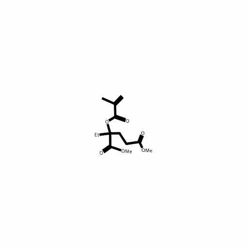 C=C(C)C(=O)OC(CC)(CCC(=O)OC)C(=O)OC